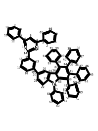 c1ccc(-c2cc(-c3ccccc3)nc(-c3cccc(-c4ccc5c(c4)c4c(-c6ccccc6)c(-c6ccccc6)c(-c6ccccc6)c(-c6ccccc6)c4n5-c4ccccc4)c3)n2)cc1